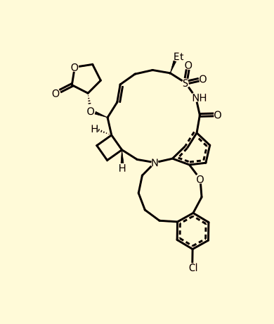 CC[C@@H]1CC/C=C/[C@H](O[C@H]2CCOC2=O)[C@@H]2CC[C@H]2CN2CCCCc3cc(Cl)ccc3COc3ccc(cc32)C(=O)NS1(=O)=O